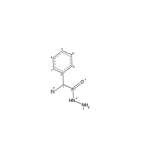 CCC(C(=O)NN)c1ccccc1